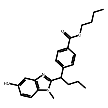 CCCCOC(=O)c1ccc(C(CCC)c2nc3cc(O)ccc3n2C)cc1